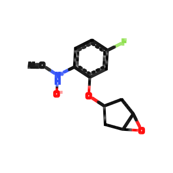 CO[NH+]([O-])c1ccc(F)cc1OC1CC2OC2C1